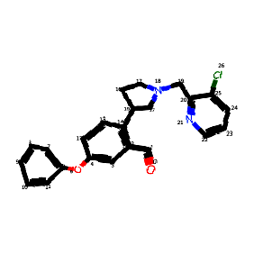 O=Cc1cc(Oc2ccccc2)ccc1C1CCN(Cc2ncccc2Cl)C1